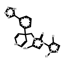 CCCCc1cn(-c2c(Cl)cnn2CC)c(=O)n1CC1(c2cccc(-c3nnn[nH]3)c2)C=CNC=C1